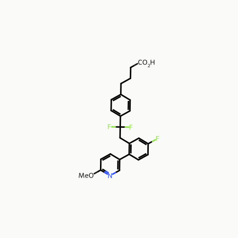 COc1ccc(-c2ccc(F)cc2CC(F)(F)c2ccc(CCCC(=O)O)cc2)cn1